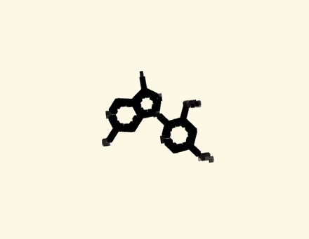 COc1cc([N+](=O)[O-])cnc1-n1nc(I)c2cnc(Cl)cc21